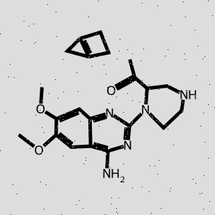 C1CC2=C1C2.COc1cc2nc(N3CCNCC3C(C)=O)nc(N)c2cc1OC